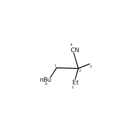 CCCCCC(C)(C#N)CC